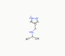 CC(C)C(C#N)NCc1cn[nH]c1